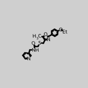 CCOc1ccc(-c2nc(CSCC(=O)NCc3cccnc3)c(C)o2)cc1